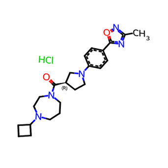 Cc1noc(-c2ccc(N3CC[C@@H](C(=O)N4CCCN(C5CCC5)CC4)C3)cc2)n1.Cl